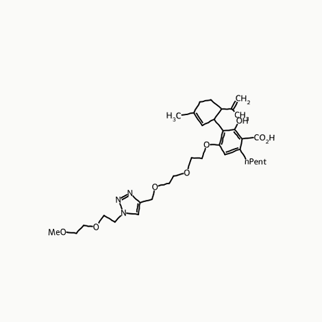 C=C(C)C1CCC(C)=CC1c1c(OCCOCCOCc2cn(CCOCCOC)nn2)cc(CCCCC)c(C(=O)O)c1O